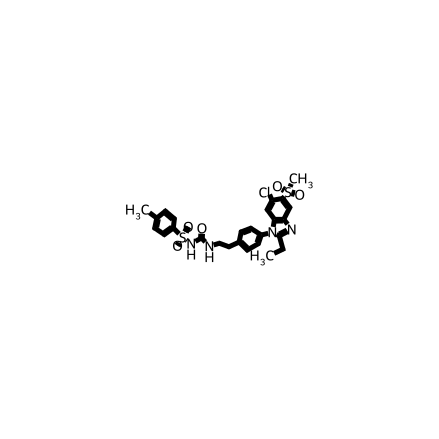 CCc1nc2cc(S(C)(=O)=O)c(Cl)cc2n1-c1ccc(CCNC(=O)NS(=O)(=O)c2ccc(C)cc2)cc1